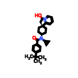 CC(C)(C)c1ccc(C(=O)N(C2CC2)[C@H]2CC[C@](CCO)(c3ccccn3)CC2)cc1